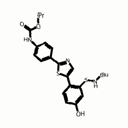 CC(C)OC(=O)Nc1ccc(-c2ncc(-c3ccc(O)cc3SNC(C)(C)C)s2)cc1